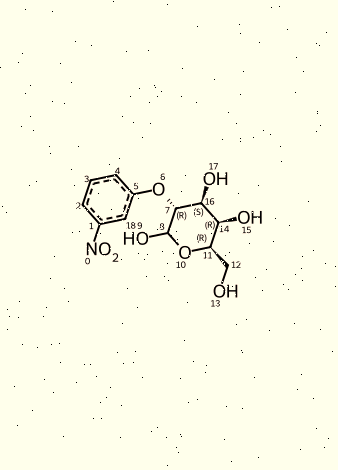 O=[N+]([O-])c1cccc(O[C@H]2C(O)O[C@H](CO)[C@H](O)[C@@H]2O)c1